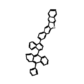 c1ccc(-c2c3ccccc3c(-c3ccc(-c4ccc5cc6c(cc5c4)sc4cc5ccccc5cc46)c4ccccc34)c3ccccc23)cc1